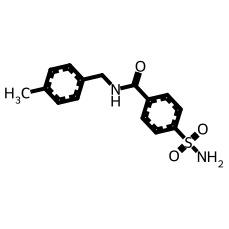 Cc1ccc(CNC(=O)c2ccc(S(N)(=O)=O)cc2)cc1